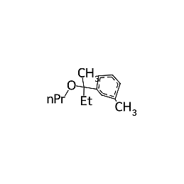 CCCOC(C)(CC)c1cccc(C)c1